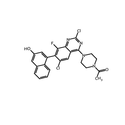 CC(=O)N1CCN(c2nc(Cl)nc3c(F)c(-c4cc(O)cc5ccccc45)c(Cl)cc23)CC1